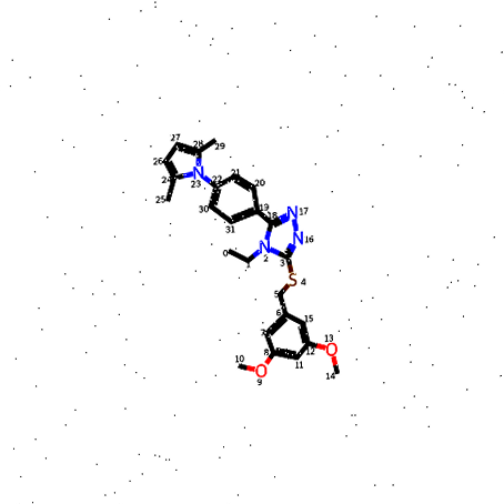 CCn1c(SCc2cc(OC)cc(OC)c2)nnc1-c1ccc(-n2c(C)ccc2C)cc1